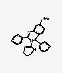 COc1ccc2c(c1)N=C(c1ccccc1)N(C1=CCCC=N1)C2c1ccccc1